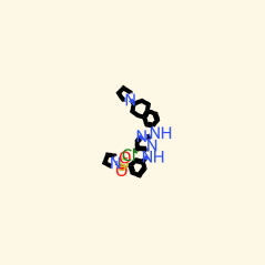 O=S(=O)(c1cccc(Nc2nc(Nc3ccc4c(c3)CCC(N3CCCC3)CC4)ncc2Cl)c1)N1CCCC1